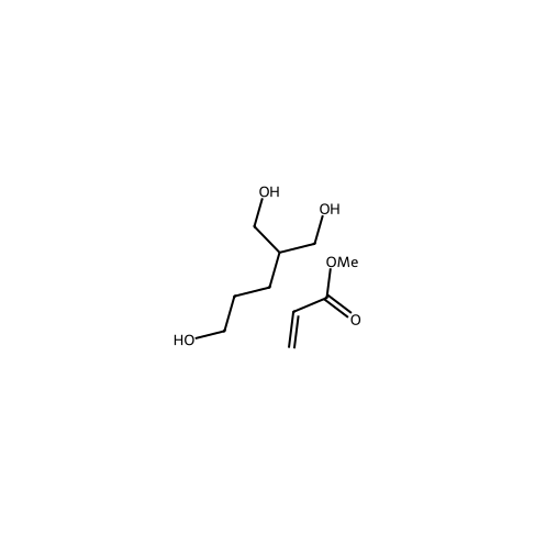 C=CC(=O)OC.OCCCC(CO)CO